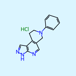 Cl.c1ccc(N2CCc3c(cnc4[nH]ncc34)C2)cc1